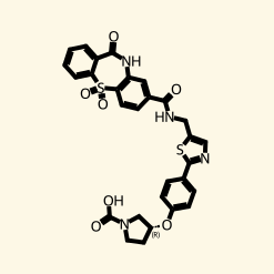 O=C(NCc1cnc(-c2ccc(O[C@@H]3CCN(C(=O)O)C3)cc2)s1)c1ccc2c(c1)NC(=O)c1ccccc1S2(=O)=O